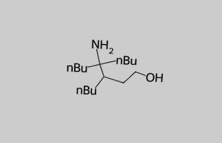 CCCCC(CCO)C(N)(CCCC)CCCC